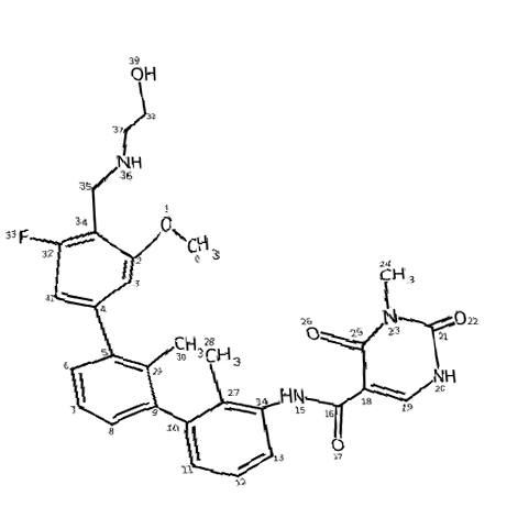 COc1cc(-c2cccc(-c3cccc(NC(=O)c4c[nH]c(=O)n(C)c4=O)c3C)c2C)cc(F)c1CNCCO